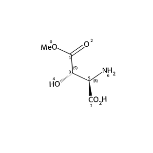 COC(=O)[C@@H](O)[C@@H](N)C(=O)O